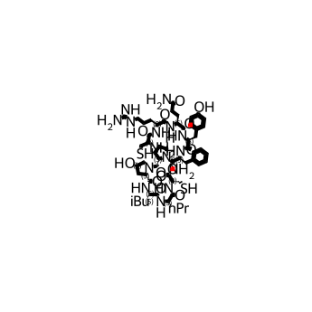 CCC[C@H](NC(=O)[C@@H](NC(=O)[C@@H]1C[C@@H](O)CN1C(=O)[C@@H]1CCCN1C(=O)[C@H](Cc1ccccc1)NC(=O)[C@H](Cc1ccc(O)cc1)NC(=O)[C@H](CCC(N)=O)NC(=O)[C@H](CCCNC(=N)N)NC(=O)[C@@H](N)CS)[C@@H](C)CC)C(=O)N[C@@H](CS)C(N)=O